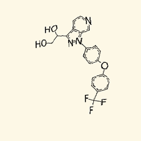 OCC(O)c1nn(-c2ccc(Oc3ccc(C(F)(F)F)cc3)cc2)c2cnccc12